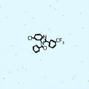 O=C(c1ccccc1)n1c(-c2cccc(C(F)(F)F)c2)nc2ccc(Cl)cc21